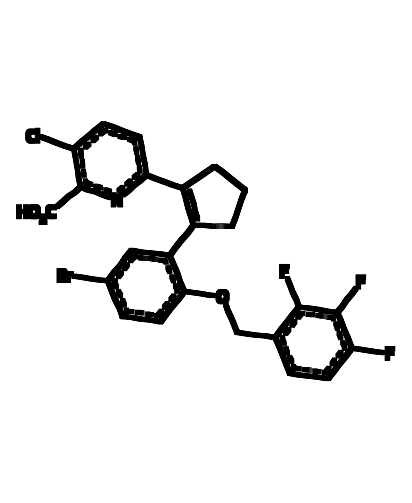 O=C(O)c1nc(C2=C(c3cc(Br)ccc3OCc3ccc(F)c(F)c3F)CCC2)ccc1Cl